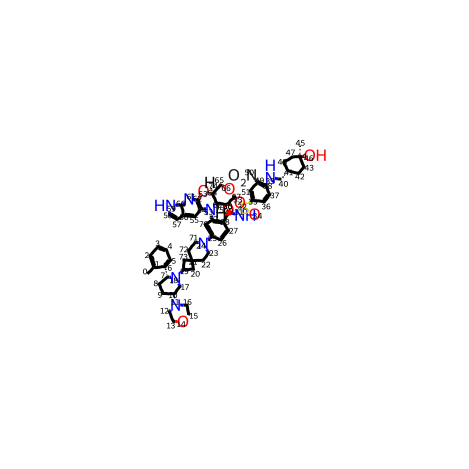 Cc1ccccc1[C@H]1CC[C@@H](N2CCOCC2)CN1C1CC2(CCN(c3ccc(C(=O)NS(=O)(=O)c4ccc(NC[C@H]5CC[C@](C)(O)CC5)c([N+](=O)[O-])c4)c(N4c5cc6cc[nH]c6nc5O[C@H]5COCC[C@@H]54)c3)CC2)C1